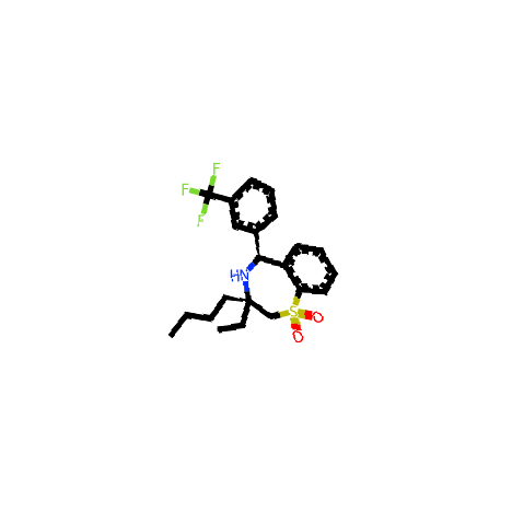 CCCC[C@]1(CC)CS(=O)(=O)c2ccccc2[C@H](c2cccc(C(F)(F)F)c2)N1